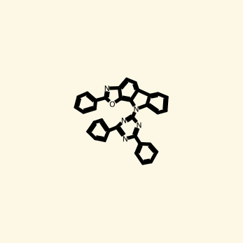 c1ccc(-c2nc(-c3ccccc3)nc(-n3c4ccccc4c4ccc5nc(-c6ccccc6)oc5c43)n2)cc1